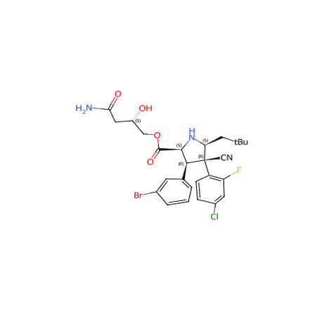 CC(C)(C)C[C@@H]1N[C@H](C(=O)OC[C@@H](O)CC(N)=O)[C@H](c2cccc(Br)c2)[C@@]1(C#N)c1ccc(Cl)cc1F